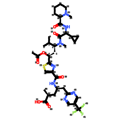 CC(=O)O[C@H](C[C@H](C(C)C)N(C)C(=O)[C@@H](NC(=O)[C@H]1CCCCN1C)C1CC1)c1nc(C(=O)N[C@@H](Cc2ncc(C(F)(F)F)cn2)C[C@H](C)C(=O)O)cs1